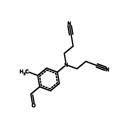 Cc1cc(N(CCC#N)CCC#N)ccc1C=O